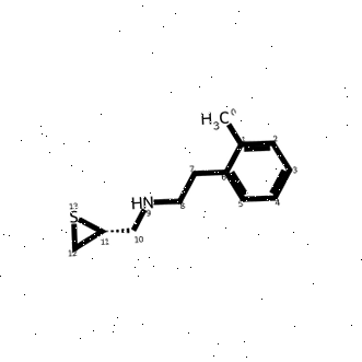 Cc1ccccc1CCNC[C@@H]1CS1